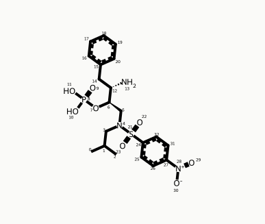 CC(C)CN(C[C@@H](OP(=O)(O)O)[C@@H](N)Cc1ccccc1)S(=O)(=O)c1ccc([N+](=O)[O-])cc1